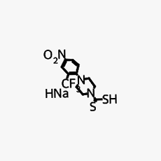 O=[N+]([O-])c1ccc(N2CCN(C(=S)S)CC2)c(C(F)(F)F)c1.[NaH]